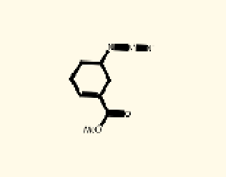 COC(=O)C1=CCCC(N=[N+]=[N-])C1